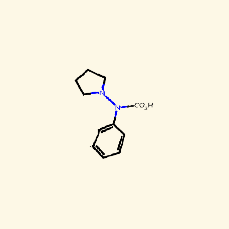 O=C(O)N(c1c[c]ccc1)N1CCCC1